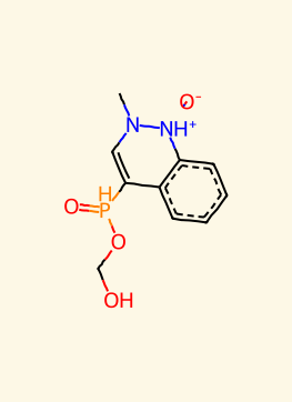 CN1C=C([PH](=O)OCO)c2ccccc2[NH+]1[O-]